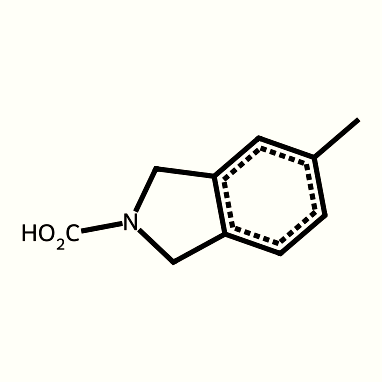 Cc1ccc2c(c1)CN(C(=O)O)C2